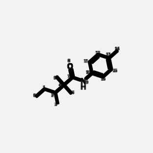 CCC(C)C(C)(C)C(=O)Nc1ccc(C)cc1